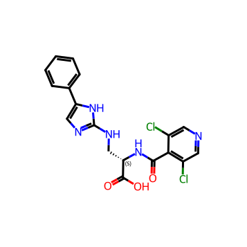 O=C(N[C@@H](CNc1ncc(-c2ccccc2)[nH]1)C(=O)O)c1c(Cl)cncc1Cl